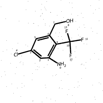 Nc1cc(Cl)cc(CO)c1C(F)(F)F